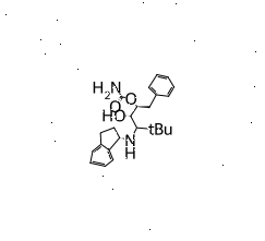 CC(C)(C)C(N[C@H]1CCc2ccccc21)[C@H](O)[C@H](Cc1ccccc1)OC(N)=O